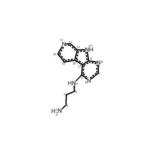 NCCCNc1ncnc2[nH]c3cnccc3c12